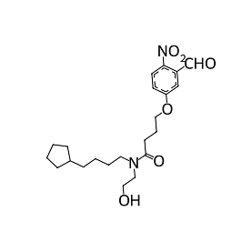 O=Cc1cc(OCCCC(=O)N(CCO)CCCCC2CCCC2)ccc1[N+](=O)[O-]